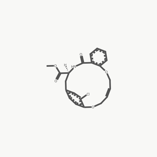 COC(=O)[C@@H]1Cc2ccc(c(Cl)c2)OCC=CCOc2ccccc2C(=O)N1